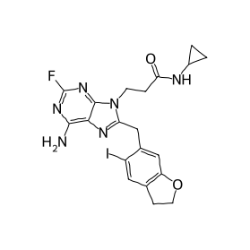 Nc1nc(F)nc2c1nc(Cc1cc3c(cc1I)CCO3)n2CCC(=O)NC1CC1